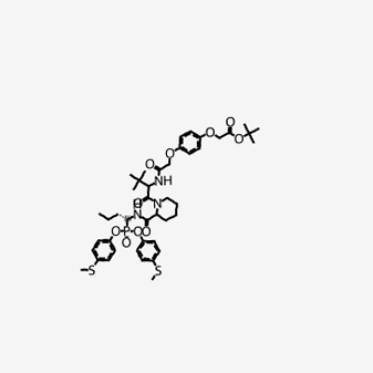 CCC[C@H](NC(=O)C1CCCCN1C(=O)C(NC(=O)COc1ccc(OCC(=O)OC(C)(C)C)cc1)C(C)(C)C)P(=O)(Oc1ccc(SC)cc1)Oc1ccc(SC)cc1